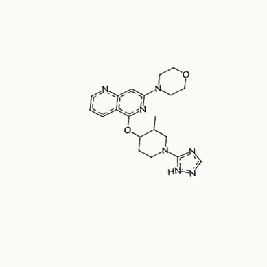 CC1CN(c2ncn[nH]2)CCC1Oc1nc(N2CCOCC2)cc2ncccc12